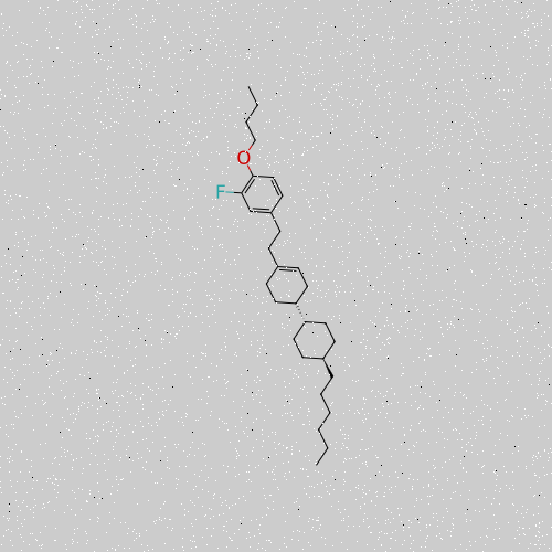 CCCCCC[C@H]1CC[C@H](C2CC=C(CCc3ccc(OCCCC)c(F)c3)CC2)CC1